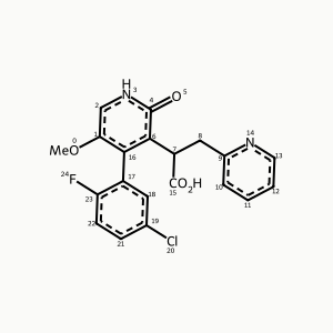 COc1c[nH]c(=O)c(C(Cc2ccccn2)C(=O)O)c1-c1cc(Cl)ccc1F